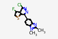 Cc1nc2cc(-c3nnc(Cl)c4c(F)csc34)ccc2n1C